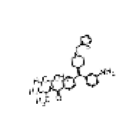 CC(C)N(C(=O)c1ccc(C(=C2CCN(Cc3cccs3)CC2)c2cccc(N)c2)cc1)C(C)C